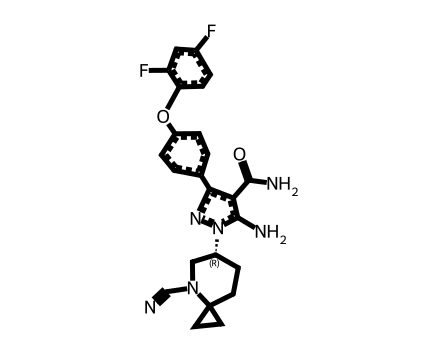 N#CN1C[C@H](n2nc(-c3ccc(Oc4ccc(F)cc4F)cc3)c(C(N)=O)c2N)CCC12CC2